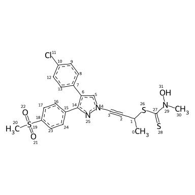 CC(C#Cn1cc(-c2ccc(Cl)cc2)c(-c2ccc(S(C)(=O)=O)cc2)n1)SC(=S)N(C)O